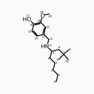 CCCCCC(CC(C)(C)C)NCc1ccc(O)c(OC)c1